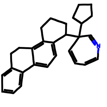 C1=CN=CC(C2CCCC2)(C2CCCc3c2ccc2c3CCc3ccccc3-2)C=C1